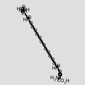 N[C@@H](Cc1ccc(OCCNC(=O)CCOCCOCCOCCOCCOCCOCCOCCOCCOCCOCCOCCOCCNC(=O)CCCC[C@@H]2SC[C@@H]3NC(=O)N[C@@H]32)cc1)C(=O)O